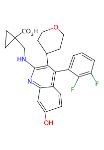 O=C(O)C1(CNc2nc3cc(O)ccc3c(-c3cccc(F)c3F)c2C2CCOCC2)CC1